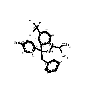 CC(C)C(=O)NC(Cc1ccccc1)(c1cccc(C(F)(F)F)c1)c1ccc(Br)cn1